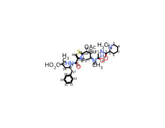 CC[C@H](C)[C@H](NC(=O)C1CCCCN1C)C(=O)N(C)[C@H](C[C@@H](OC(C)=O)c1nc(C(=O)N[C@@H](Cc2ccccc2)C[C@H](C)C(=O)O)cs1)C(C)C